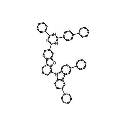 c1ccc(-c2ccc(-c3nc(-c4ccccc4)nc(-c4ccc5c(c4)oc4c(-n6c7ccc(-c8ccccc8)cc7c7cc(-c8ccccc8)ccc76)cccc45)n3)cc2)cc1